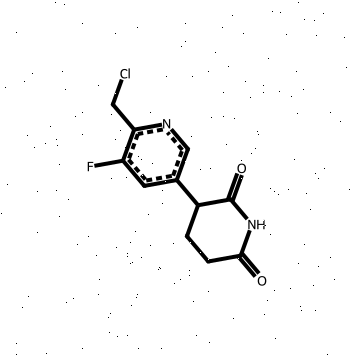 O=C1CCC(c2cnc(CCl)c(F)c2)C(=O)N1